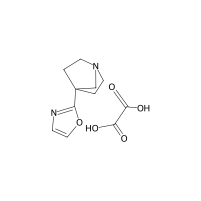 O=C(O)C(=O)O.c1coc(C23CCN(CC2)C3)n1